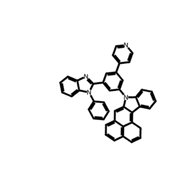 C1=Cc2cccc3cc4c(c(c23)C1)c1ccccc1n4-c1cc(-c2ccncc2)cc(-c2nc3ccccc3n2-c2ccccc2)c1